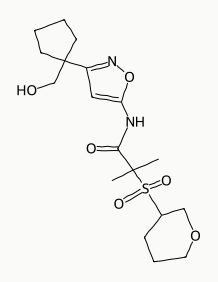 CC(C)(C(=O)Nc1cc(C2(CO)CCCC2)no1)S(=O)(=O)C1CCCOC1